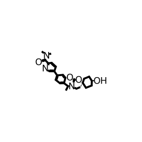 CC(c1ccc(-c2ccc(C(=O)N(C)C)nc2)cc1)N1CC[C@]2(CC[C@H](O)CC2)OC1=O